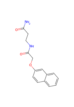 NC(=O)CCNC(=O)COc1ccc2ccccc2c1